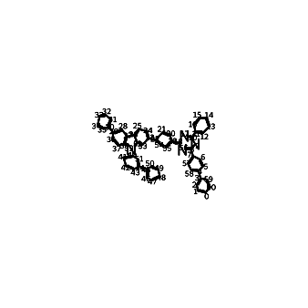 c1ccc(-c2ccc(-c3nc(-c4ccccc4)nc(-c4ccc(-c5ccc6c7cc(-c8ccccc8)ccc7n(-c7cccc(-c8ccccc8)c7)c6c5)cc4)n3)cc2)cc1